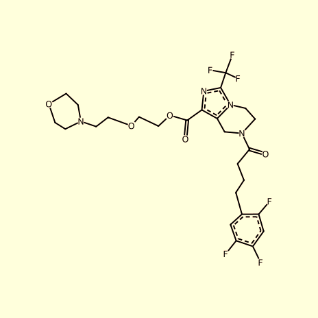 O=C(OCCOCCN1CCOCC1)c1nc(C(F)(F)F)n2c1CN(C(=O)CCCc1cc(F)c(F)cc1F)CC2